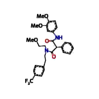 COCCN(CCc1ccc(C(F)(F)F)cc1)C(=O)C(C(=O)Nc1ccc(OC)c(OC)c1)c1ccccc1